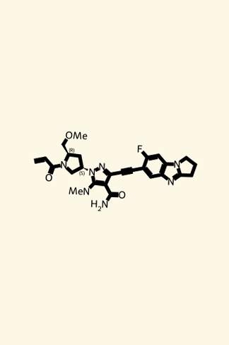 C=CC(=O)N1C[C@@H](n2nc(C#Cc3cc4nc5n(c4cc3F)CCC5)c(C(N)=O)c2NC)C[C@@H]1COC